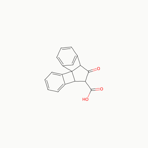 O=C(O)C1C(=O)C2c3cccc(c3)C23c2ccccc2C13